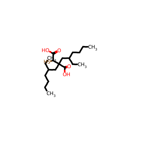 CCCCC(CC)CC(CC(CC)CCCC)(C(=O)O)C(S)C(=O)O